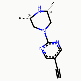 C#Cc1cnc(N2C[C@@H](C)N[C@@H](C)C2)nc1